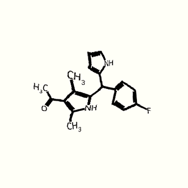 CC(=O)c1c(C)[nH]c(C(c2ccc(F)cc2)c2ccc[nH]2)c1C